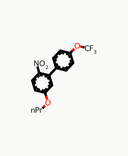 CCCOc1ccc([N+](=O)[O-])c(-c2ccc(OC(F)(F)F)cc2)c1